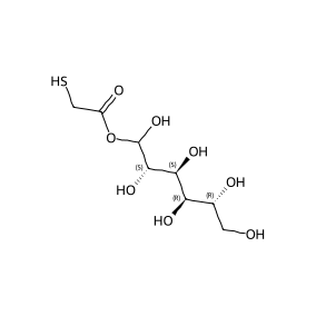 O=C(CS)OC(O)[C@@H](O)[C@@H](O)[C@H](O)[C@H](O)CO